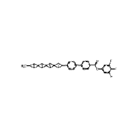 CC1C2C1C21C2C1C21C2C1C21C2C(c3ccc(-c4ccc(C(=O)Oc5cc(F)c(F)c(F)c5)cc4)cc3)C21